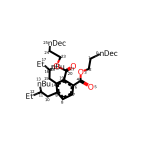 CCCCCCCCCCCCOC(=O)c1ccc(CC(CC)CCCC)c(CC(CC)CCCC)c1C(=O)OCCCCCCCCCCCC